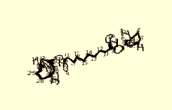 CN1[C@@H]2CC[C@H]1CC(OC(=O)CCCCCCCCC(=O)OC1C[C@H]3CC[C@@H](C1)N3C)C2